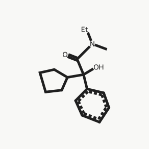 CCN(C)C(=O)C(O)(c1ccccc1)C1CCCC1